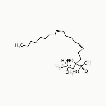 CCCCCCCC/C=C\CCC/C=C\CCC(O)(C[N+](C)(C)C)P(=O)(O)O